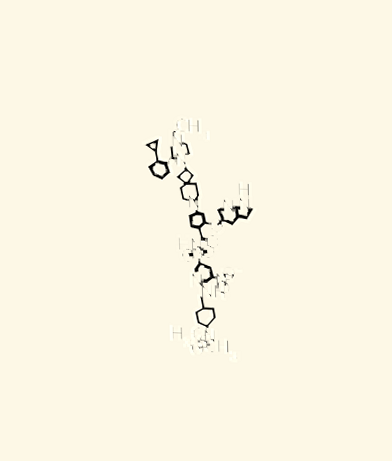 CCN1CCN(C2CC3(CCN(c4ccc(C(=O)NS(=O)(=O)c5cnc(NCC6CCC(N=S(C)(C)=O)CC6)c([N+](=O)[O-])c5)c(Oc5cnc6[nH]ccc6c5)c4)CC3)C2)[C@@H](c2ccccc2C2CC2)C1